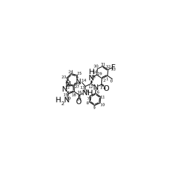 CC1=C2C(=O)N(c3ccccc3)C(C(C)NC(=O)c3c(N)nn4cccnc34)=N[C@H]2CC=C1F